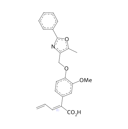 C=C/C=C(/C(=O)O)c1ccc(OCc2nc(-c3ccccc3)oc2C)c(OC)c1